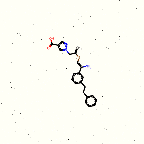 C=C(Cn1cc(C(=O)O)cn1)S/C=C(\N)c1cccc(CCc2ccccc2)c1